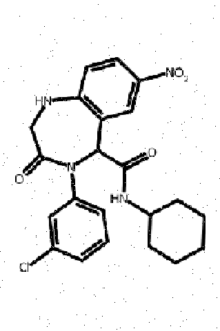 O=C(NC1CCCCC1)C1c2cc([N+](=O)[O-])ccc2NCC(=O)N1c1cccc(Cl)c1